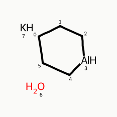 C1C[CH2][AlH][CH2]C1.O.[KH]